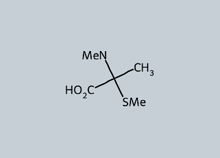 CNC(C)(SC)C(=O)O